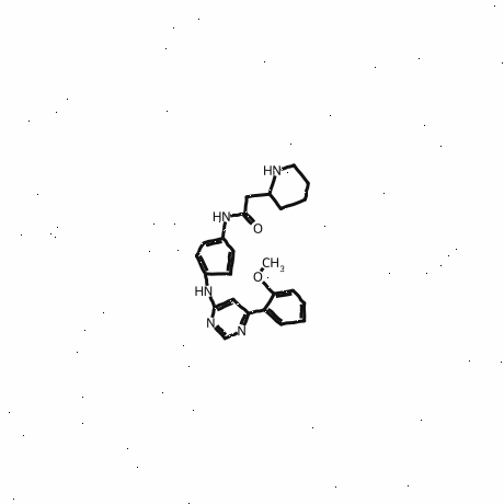 COc1ccccc1-c1cc(Nc2ccc(NC(=O)CC3CCCCN3)cc2)ncn1